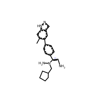 Cc1cc2[nH]ncc2cc1-c1ccc(/C(=C/N)N(N)CC2CCCC2)cc1